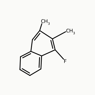 Cc1cc2ccccc2c(F)c1C